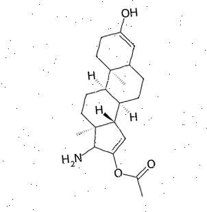 CC(=O)OC1=C[C@H]2[C@@H]3CCC4C=C(O)CC[C@]4(C)[C@@H]3CC[C@]2(C)C1N